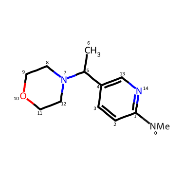 CNc1ccc(C(C)N2CCOCC2)cn1